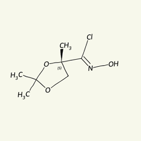 CC1(C)OC[C@@](C)(C(Cl)=NO)O1